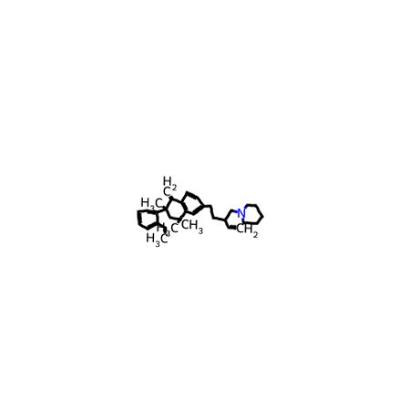 C=CC(CCc1ccc2c(c1)C(C)(C)CC(C)(c1ccccc1CC)C2=C)CN1CCCCC1